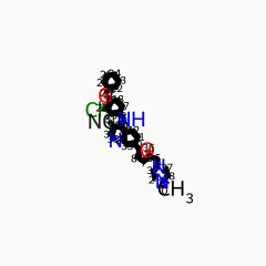 CN1CCN(Cc2ccc(-c3ccc4c(Nc5ccc(Oc6ccccc6)c(Cl)c5)c(C#N)cnc4c3)o2)CC1